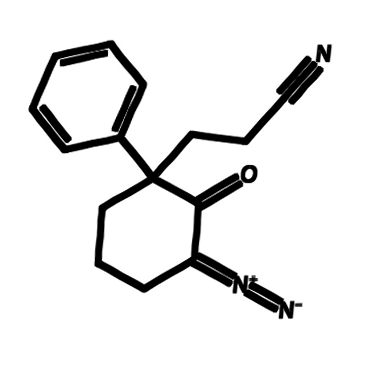 N#CCCC1(c2ccccc2)CCCC(=[N+]=[N-])C1=O